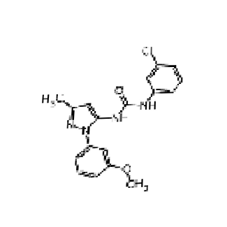 COc1cccc(-n2nc(C)cc2NC(=O)Nc2cccc(Cl)c2)c1